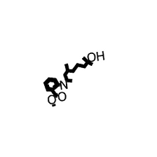 COC(=O)c1ccccc1N=C(C)CC(C)CCCC(C)(C)O